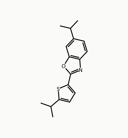 CC(C)c1ccc2nc(-c3ccc(C(C)C)s3)oc2c1